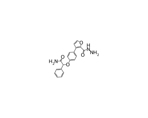 NNC(=O)c1occc1-c1ccc(OC(C(N)=O)c2ccccc2)cc1